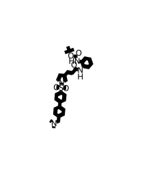 CN(C)Cc1ccc(-c2ccc(S(=O)(=O)n3ccc(C=CC(=O)Nc4ccccc4NC(=O)OC(C)(C)C)c3)cc2)cc1